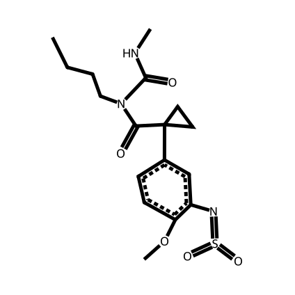 CCCCN(C(=O)NC)C(=O)C1(c2ccc(OC)c(N=S(=O)=O)c2)CC1